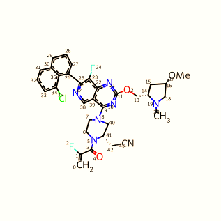 C=C(F)C(=O)N1CCN(c2nc(OC[C@@H]3C[C@@H](OC)CN3C)nc3c(F)c(-c4cccc5cccc(Cl)c45)ncc23)C[C@@H]1CC#N